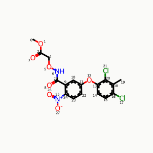 COC(=O)CONC(=O)c1cc(Oc2ccc(Cl)c(C)c2Cl)ccc1[N+](=O)[O-]